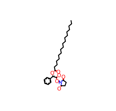 CCCCCCCCCCCCCCCCCC(=O)O[C@H](C(=O)ON1C(=O)CCC1=O)c1ccccc1